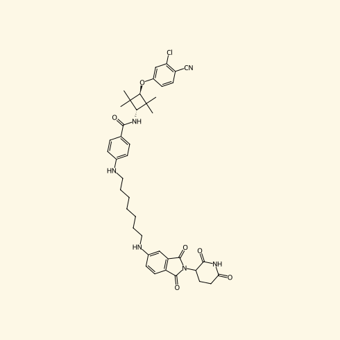 CC1(C)[C@H](NC(=O)c2ccc(NCCCCCCCNc3ccc4c(c3)C(=O)N(C3CCC(=O)NC3=O)C4=O)cc2)C(C)(C)[C@H]1Oc1ccc(C#N)c(Cl)c1